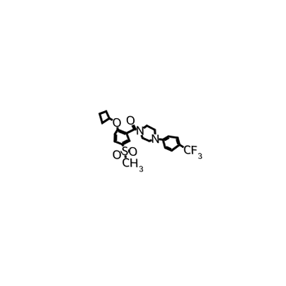 CS(=O)(=O)c1ccc(OC2CCC2)c(C(=O)N2CCN(c3ccc(C(F)(F)F)cc3)CC2)c1